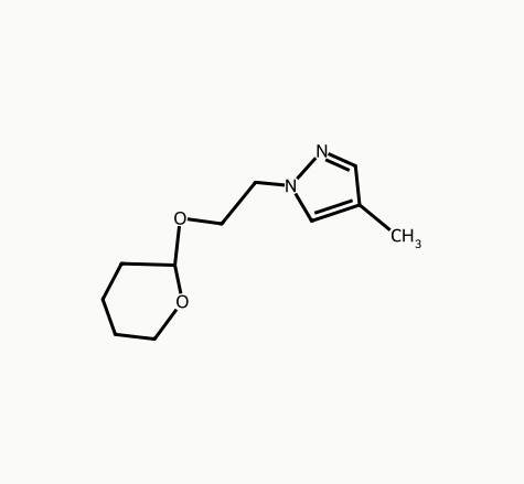 Cc1cnn(CCOC2CCCCO2)c1